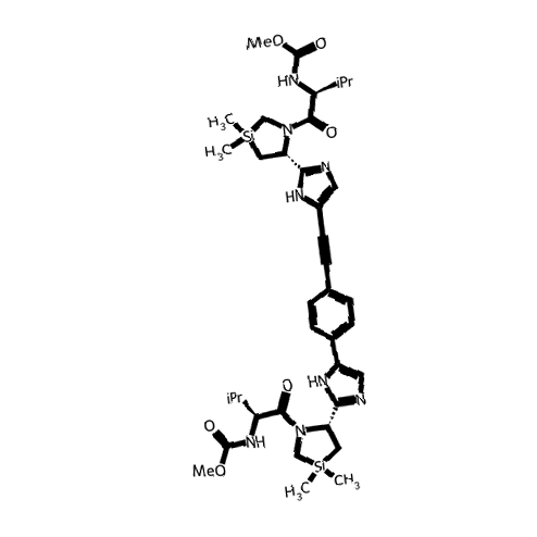 COC(=O)N[C@H](C(=O)N1C[Si](C)(C)C[C@H]1c1ncc(C#Cc2ccc(-c3cnc([C@@H]4C[Si](C)(C)CN4C(=O)[C@@H](NC(=O)OC)C(C)C)[nH]3)cc2)[nH]1)C(C)C